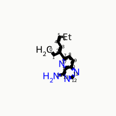 C=C/C(=C\C=C/CC)c1ccc2ncnc(N)c2n1